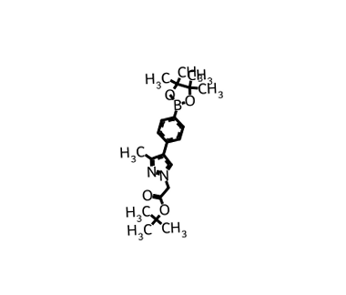 Cc1nn(CC(=O)OC(C)(C)C)cc1-c1ccc(B2OC(C)(C)C(C)(C)O2)cc1